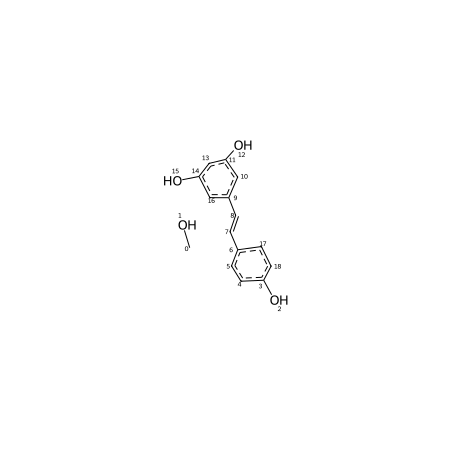 CO.Oc1ccc(C=Cc2cc(O)cc(O)c2)cc1